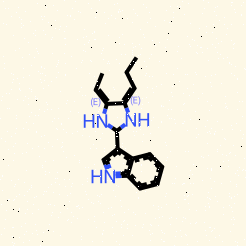 C/C=C1/NC(c2c[nH]c3ccccc23)N/C1=C/CC